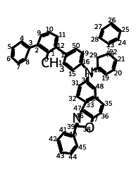 Cc1c(-c2ccccc2)cccc1-c1ccc(N(C2=CC=C[C@@H](c3ccccc3)C2)c2ccc3c(ccc4oc(-c5ccccc5)nc43)c2)cc1